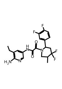 CCc1cc(NC(=O)C(=O)N2CC(C)C(F)(F)CC2c2ccc(F)c(F)c2)cnc1N